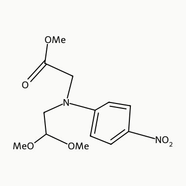 COC(=O)CN(CC(OC)OC)c1ccc([N+](=O)[O-])cc1